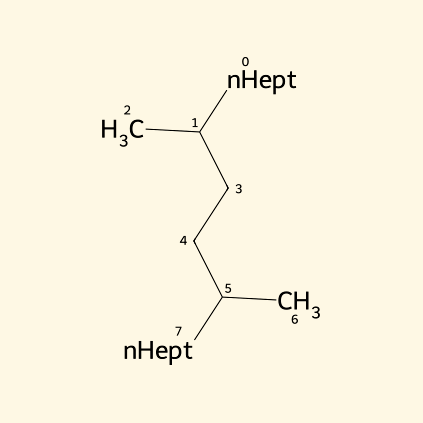 CCCCCCCC(C)CCC(C)CCCCCCC